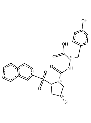 O=C(O)[C@H](Cc1ccc(O)cc1)NC(=O)[C@@H]1C[C@H](S)CN1S(=O)(=O)c1ccc2ccccc2c1